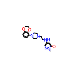 Cn1ncc(NCCN2CCN(c3cccc4c3OCCO4)CC2)cc1=O